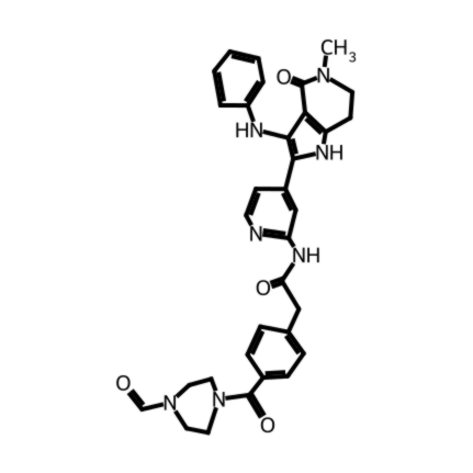 CN1CCc2[nH]c(-c3ccnc(NC(=O)Cc4ccc(C(=O)N5CCN(C=O)CC5)cc4)c3)c(Nc3ccccc3)c2C1=O